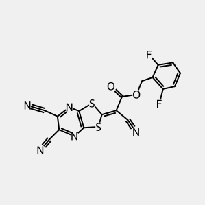 N#CC(C(=O)OCc1c(F)cccc1F)=C1Sc2nc(C#N)c(C#N)nc2S1